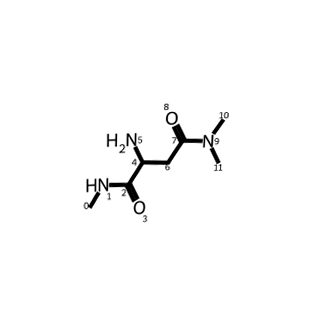 CNC(=O)C(N)CC(=O)N(C)C